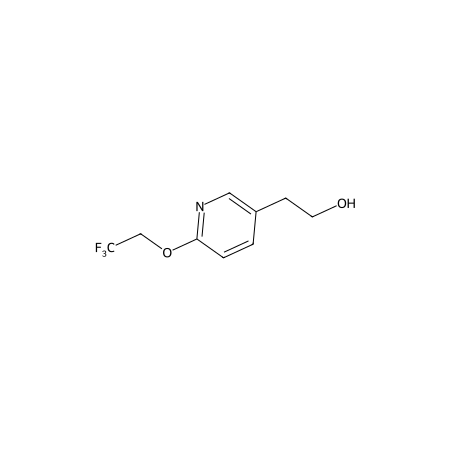 OCCc1ccc(OCC(F)(F)F)nc1